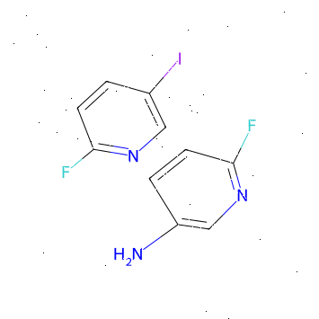 Fc1ccc(I)cn1.Nc1ccc(F)nc1